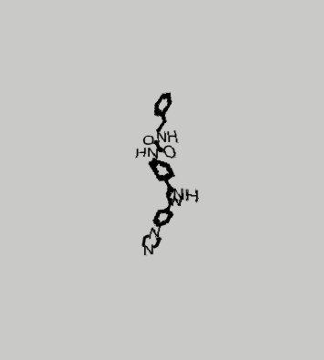 CN1CCN(c2ccc(-c3cc(-c4ccc(NC(=O)C(=O)NCCc5ccccc5)cc4)[nH]n3)cc2)CC1